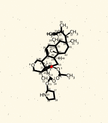 CC(=O)O[C@@H]1C[C@@]23COC[C@](C)([C@H]1C(=O)OC1CCCN1)[C@H]2CC[C@H]1C3=CC[C@@]2(C)[C@H](C(=O)O)[C@@](C)([C@H](C)C(C)C)CC[C@]12C